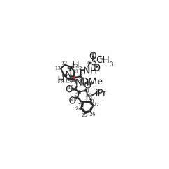 COC(CNCS(C)(=O)=O)CN1[C@@H]2CC[C@H]1C[C@H](NC(=O)C1C(=O)c3ccccc3N(C(C)C)C1=O)C2